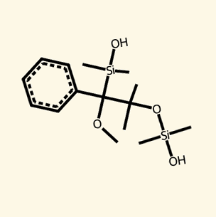 COC(c1ccccc1)(C(C)(C)O[Si](C)(C)O)[Si](C)(C)O